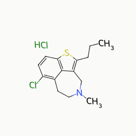 CCCc1sc2ccc(Cl)c3c2c1CN(C)CC3.Cl